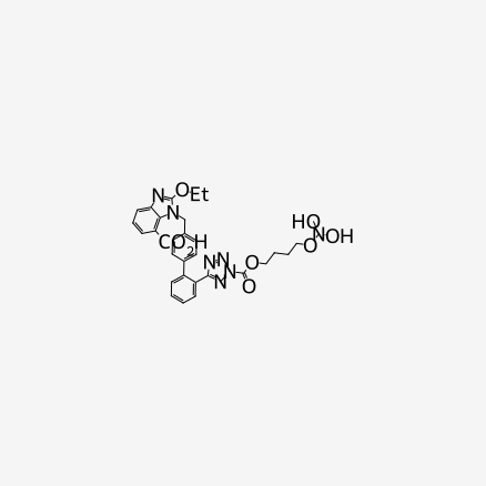 CCOc1nc2cccc(C(=O)O)c2n1Cc1ccc(-c2ccccc2-c2nnn(C(=O)OCCCCON(O)O)n2)cc1